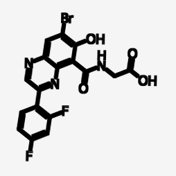 O=C(O)CNC(=O)c1c(O)c(Br)cc2ncc(-c3ccc(F)cc3F)nc12